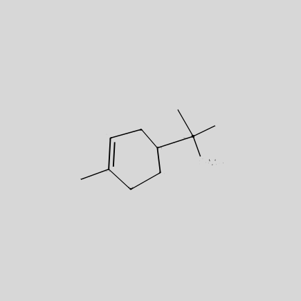 COC(C)(C)C1C[C]C(C)=CC1